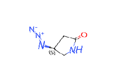 [N-]=[N+]=N[C@@H]1CNC(=O)C1